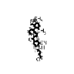 Cc1ccc2c(cnn2C)c1-c1cccn2c(C(=O)c3ccc(NC(=O)/C=C/CCl)c(C#N)c3)ccc12